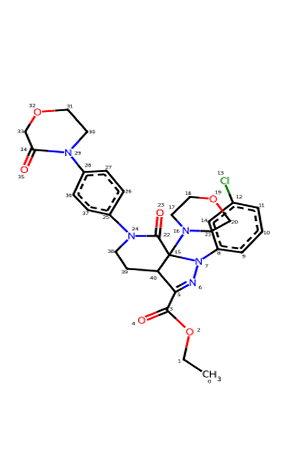 CCOC(=O)C1=NN(c2cccc(Cl)c2)C2(N3CCOCC3)C(=O)N(c3ccc(N4CCOCC4=O)cc3)CCC12